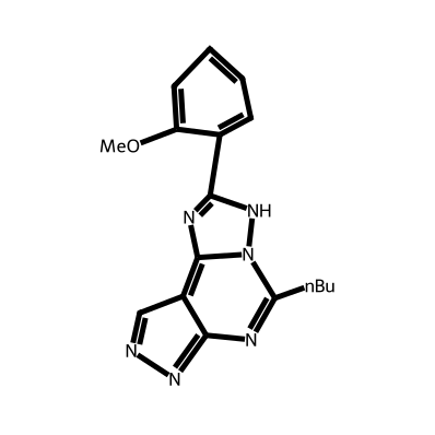 CCCCc1nc2nncc-2c2nc(-c3ccccc3OC)[nH]n12